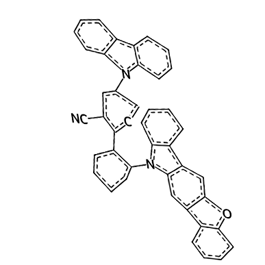 N#Cc1cc(-n2c3ccccc3c3ccccc32)ccc1-c1ccccc1-n1c2ccccc2c2cc3oc4ccccc4c3cc21